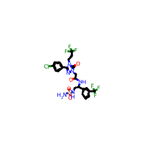 NS(=O)(=O)NCC(NC(=O)Cn1nc(-c2ccc(Cl)cc2)n(CCC(F)(F)F)c1=O)c1cccc(C(F)(F)F)c1